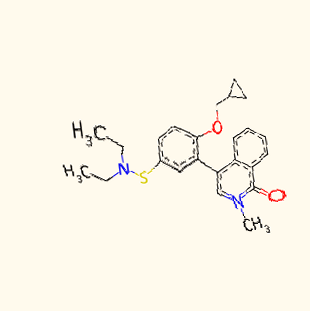 CCN(CC)Sc1ccc(OCC2CC2)c(-c2cn(C)c(=O)c3ccccc23)c1